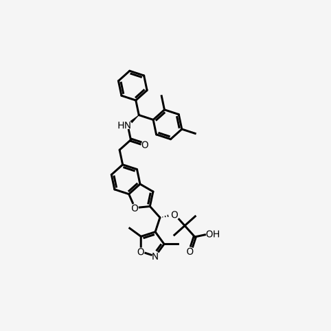 Cc1ccc([C@@H](NC(=O)Cc2ccc3oc([C@H](OC(C)(C)C(=O)O)c4c(C)noc4C)cc3c2)c2ccccc2)c(C)c1